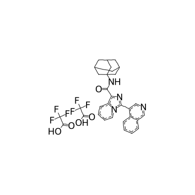 O=C(NC12CC3CC(CC(C3)C1)C2)c1nc(-c2cncc3ccccc23)n2ccccc12.O=C(O)C(F)(F)F.O=C(O)C(F)(F)F